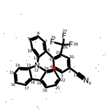 N#Cc1ccc(-c2ccccc2-n2c3ccccc3c3ccccc32)c(C(F)(F)F)c1